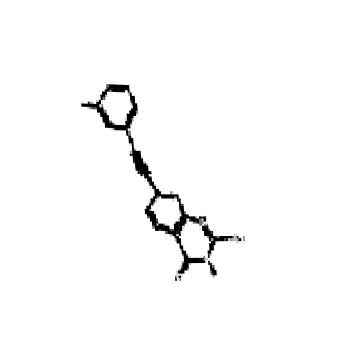 CCC(C)c1nc2cc(C#Cc3cccc(F)c3)ccc2c(=O)n1C